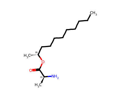 CCCCCCCCC[C@@H](C)OC(=O)[C@H](C)N